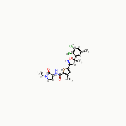 Cc1cc(C2=NOC(c3cc(C(F)(F)F)cc(Cl)c3F)(C(F)(F)F)C2)sc1C(=O)NC1CCN(CC(F)(F)F)C1=O